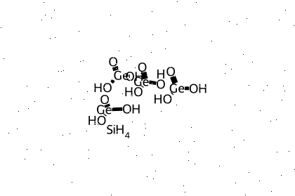 [O]=[Ge]([OH])[OH].[O]=[Ge]([OH])[OH].[O]=[Ge]([OH])[OH].[O]=[Ge]([OH])[OH].[SiH4]